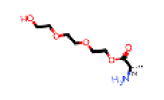 C[C@H](N)C(=O)OCCOCCOCCO